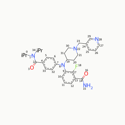 CC(C)N(C(=O)c1ccc(N(c2cccc(C(N)=O)c2F)C2CCN(Cc3cccnc3)CC2)cc1)C(C)C